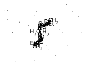 C=C[Si](CC)(CC)c1ccc(C(=O)OOC(=O)OC2CCC(C(C)(C)C3CCC(OC(=O)OOC(=O)c4ccc([Si](C=C)(CC)CC)cc4)CC3)CC2)cc1